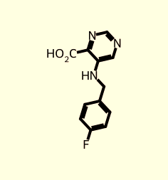 O=C(O)c1ncncc1NCc1ccc(F)cc1